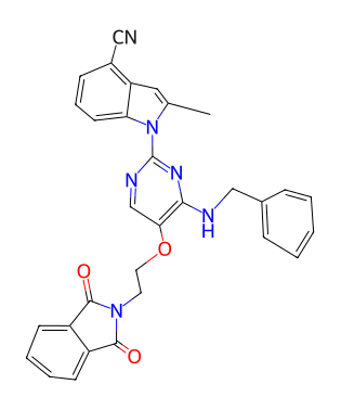 Cc1cc2c(C#N)cccc2n1-c1ncc(OCCN2C(=O)c3ccccc3C2=O)c(NCc2ccccc2)n1